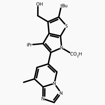 Cc1cc(-c2c(C(C)C)c3c(CO)c(C(C)(C)C)sc3n2C(=O)O)cn2ncnc12